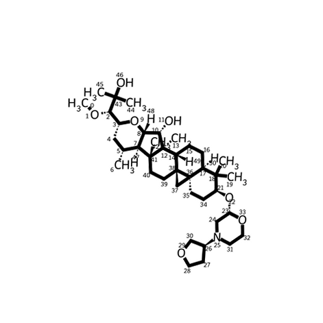 CO[C@@H]([C@H]1C[C@@H](C)[C@H]2[C@H](O1)[C@H](O)[C@@]1(C)[C@@H]3CC[C@H]4C(C)(C)[C@@H](O[C@H]5CN([C@H]6CCOC6)CCO5)CC[C@@]45C[C@@]35CC[C@]21C)C(C)(C)O